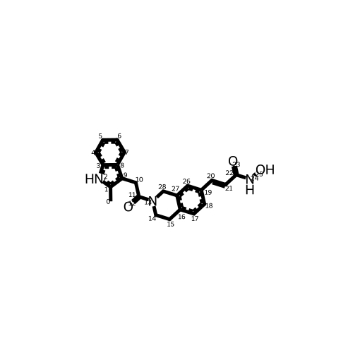 Cc1[nH]c2ccccc2c1CC(=O)N1CCc2ccc(/C=C/C(=O)NO)cc2C1